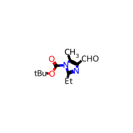 CCc1nc(C=O)c(C)n1C(=O)OC(C)(C)C